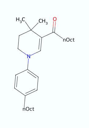 CCCCCCCCC(=O)C1=CN(c2ccc(CCCCCCCC)cc2)CCC1(C)C